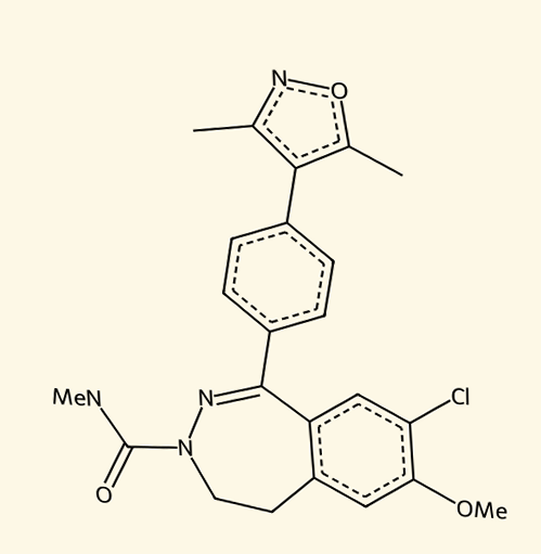 CNC(=O)N1CCc2cc(OC)c(Cl)cc2C(c2ccc(-c3c(C)noc3C)cc2)=N1